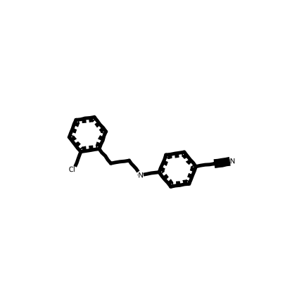 N#Cc1ccc([N]CCc2ccccc2Cl)cc1